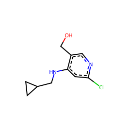 OCc1cnc(Cl)cc1NCC1CC1